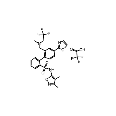 Cc1noc(NS(=O)(=O)c2ccccc2-c2ccc(-c3ncco3)cc2CN(C)CC(F)(F)F)c1C.O=C(O)C(F)(F)F